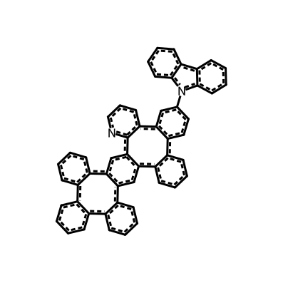 c1ccc2c(c1)c1ccccc1c1cc3c4ccccc4c4ccc(-n5c6ccccc6c6ccccc65)cc4c4cccnc4c3cc1c1ccccc21